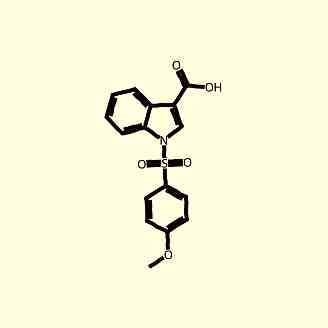 COc1ccc(S(=O)(=O)n2cc(C(=O)O)c3ccccc32)cc1